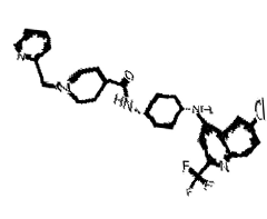 O=C(N[C@H]1CC[C@@H](Nc2cc(C(F)(F)F)nc3ccc(Cl)cc23)CC1)C1CCN(Cc2ccccn2)CC1